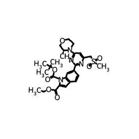 CCOC(=O)c1cc2ccc(-c3nc(CS(C)(=O)=O)cc(N4CCOC[C@@H]4C)n3)cc2n1C(=O)OC(C)(C)C